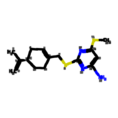 C=C(C)[C@@H]1CC=C(CSc2nc(N)cc(SC)n2)CC1